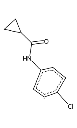 O=C(Nc1c[c]c(Cl)cc1)C1CC1